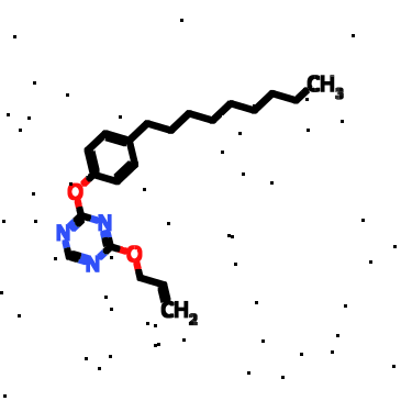 C=CCOc1ncnc(Oc2ccc(CCCCCCCCC)cc2)n1